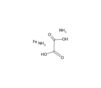 N.N.O=C(O)C(=O)O.[Fe]